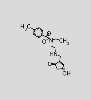 CCN(CCNCC1=C[C@H](O)CC1=O)S(=O)(=O)c1ccc(C)cc1